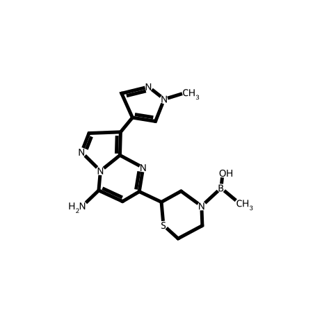 CB(O)N1CCSC(c2cc(N)n3ncc(-c4cnn(C)c4)c3n2)C1